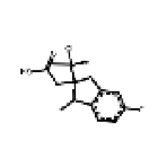 CC1c2ccc(Cl)cc2CC1(CC(=O)O)C(C)(C)Cl